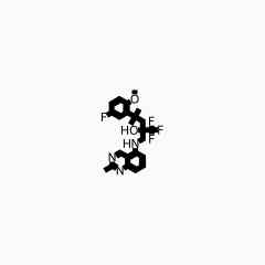 COc1ccc(F)cc1C(C)(C)CC(O)(CNc1cccc2nc(C)ncc12)C(F)(F)F